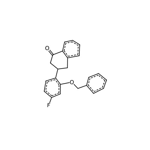 O=C1CC(c2ccc(F)cc2OCc2ccccc2)Cc2ccccc21